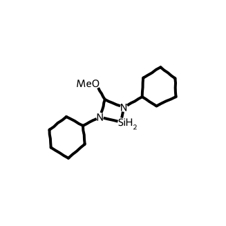 COC1N(C2CCCCC2)[SiH2]N1C1CCCCC1